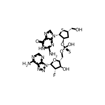 Nc1nc2c(ncn2[C@@H]2S[C@H](CO)C[C@H]2OP(O)(=S)OC[C@H]2O[C@@H](n3nnc4c(N)ncnc43)[C@@H](F)[C@@H]2O)c(=O)[nH]1